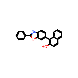 Oc1ccc2ccccc2c1-c1ccc2nc(-c3ccccc3)oc2c1